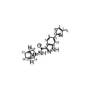 Cc1csc(-c2ccc3c(C(=O)N[C@@H]4C[C@H]5CC[C@@H](C4)N5C)n[nH]c3c2)n1